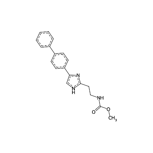 COC(=O)NCCc1nc(-c2ccc(-c3ccccc3)cc2)c[nH]1